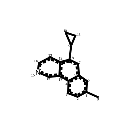 Cc1ccc2c(c1)cc(C1CC1)c1ccncc12